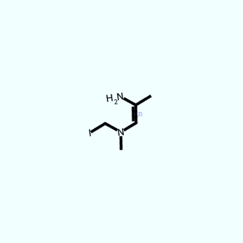 C/C(N)=C/N(C)CI